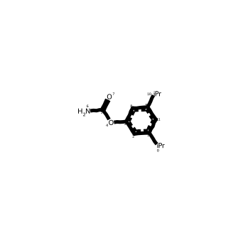 CC(C)c1cc(OC(N)=O)cc(C(C)C)c1